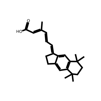 CC(C=CC=C1CCc2cc3c(cc21)C(C)(C)CCC3(C)C)=CC(=O)O